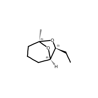 CC[C@@H]1O[C@]2(C)CCC[C@H]1O2